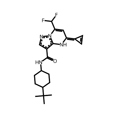 CC(C)(C)C1CCC(NC(=O)c2cnn3c2NC(=C2C=C2)C=C3C(F)F)CC1